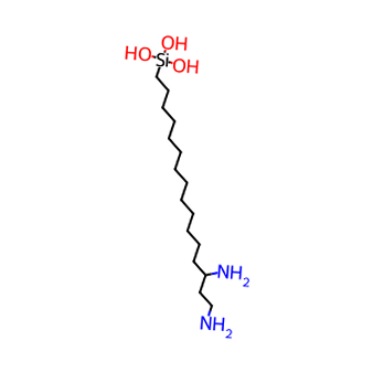 NCCC(N)CCCCCCCCCCCCC[Si](O)(O)O